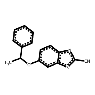 N#Cc1nc2ccc(OC(c3ccccc3)C(F)(F)F)cc2s1